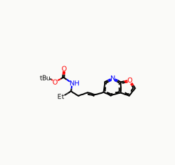 CCC(CC=Cc1cnc2occc2c1)NC(=O)OC(C)(C)C